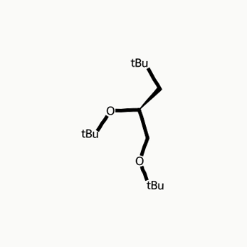 CC(C)(C)C[C@@H](COC(C)(C)C)OC(C)(C)C